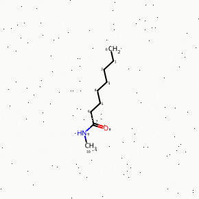 [CH2]CCCCCCC(=O)NC